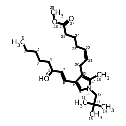 CCCCCC(O)C=Cc1cn(CC(C)(C)C)c(C)c1C/C=C\CCCC(=O)OC